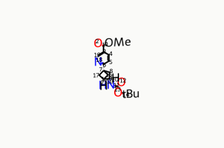 COC(=O)c1ccc([C@]23C[C@H](NC(=O)OC(C)(C)C)[C@H](C2)C3)nc1